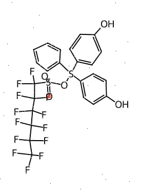 O=S(=O)(OS(c1ccccc1)(c1ccc(O)cc1)c1ccc(O)cc1)C(F)(F)C(F)(F)C(F)(F)C(F)(F)C(F)(F)C(F)(F)F